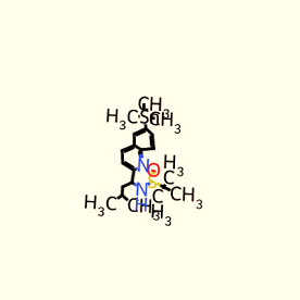 CC(C)CC(NS(=O)C(C)(C)C)c1ccc2c[c]([Sn]([CH3])([CH3])[CH3])ccc2n1